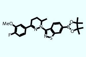 COc1cc(C2=NN(c3nsc4cc(B5OC(C)(C)C(C)(C)O5)ccc34)C(C)CC2)ccc1F